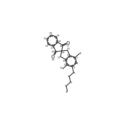 CCCCCc1cc(C)c2c(c1C)CC1(C2)C(=O)c2ccccc2C1=O